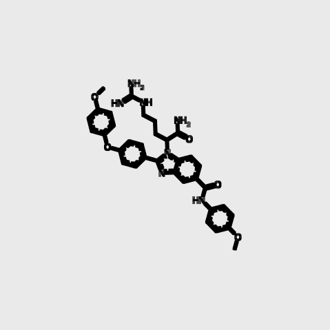 COc1ccc(NC(=O)c2ccc3c(c2)nc(-c2ccc(Oc4ccc(OC)cc4)cc2)n3C(CCCNC(=N)N)C(N)=O)cc1